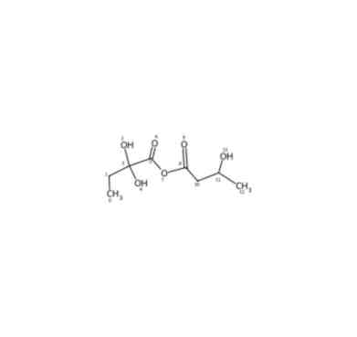 CCC(O)(O)C(=O)OC(=O)CC(C)O